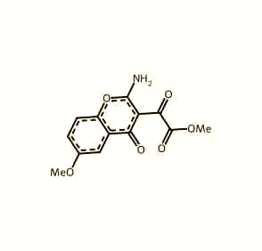 COC(=O)C(=O)c1c(N)oc2ccc(OC)cc2c1=O